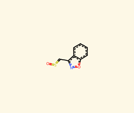 O=S=Cc1noc2ccccc12